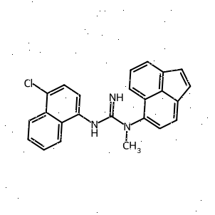 CN(C(=N)Nc1ccc(Cl)c2ccccc12)c1ccc2c3c(cccc13)C=C2